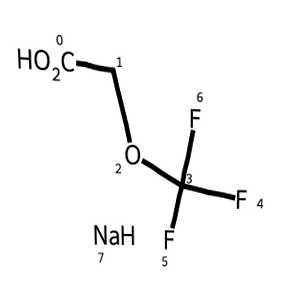 O=C(O)COC(F)(F)F.[NaH]